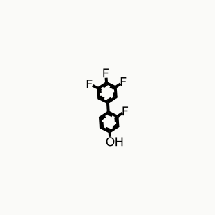 Oc1ccc(-c2cc(F)c(F)c(F)c2)c(F)c1